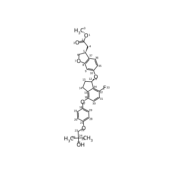 COC(=O)C[C@@H]1COc2cc(O[C@@H]3CCc4c(Oc5ccc(OCC(C)(C)O)cc5)ccc(F)c43)ccc21